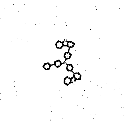 c1ccc(-c2ccc(N(c3ccc(-c4cccc5oc6ccccc6c45)cc3)c3ccc(-c4cccc5oc6ccccc6c45)cc3)cc2)cc1